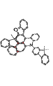 CC1(C)c2ccccc2-c2ccc(N(c3ccc4c(c3)C(C)(C)c3ccccc3-4)c3ccccc3-c3cc(-c4ccccc4)cc4oc5ccccc5c34)cc21